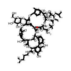 Cc1cc2ccc1Oc1cc3cc(c1O[C@@H]1O[C@H](CO)[C@@H](O)[C@H](O)[C@H]1O)Oc1ccc(cc1Cl)[C@@H](O)[C@@H]1NC(=O)[C@@H](NC(=O)[C@@H]3NC(=O)[C@H](CC(N)=O)NC(=O)[C@H](NC(=O)[C@@H](CC(C)C)N(C)C(=O)OC(C)(C)C)[C@@H]2O)c2ccc(O)c(c2)-c2c(C)cc(O)cc2[C@@H](C(=O)NCCCN(C)C)NC1=O